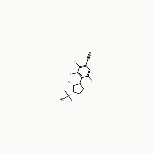 C[C@H]1[C@@H](C(C)(C)O)CCN1c1c(F)cc(C#N)c(F)c1F